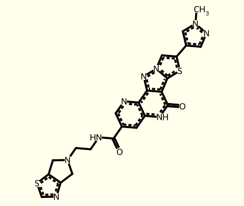 Cn1cc(-c2cn3nc4c5ncc(C(=O)NCCN6Cc7ncsc7C6)cc5[nH]c(=O)c4c3s2)cn1